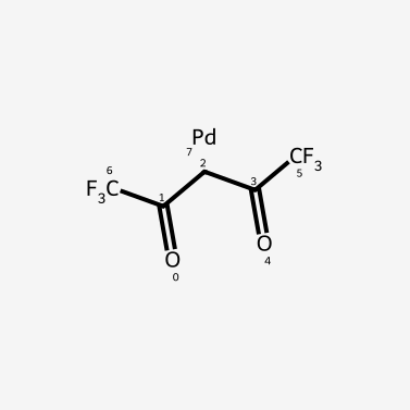 O=C(CC(=O)C(F)(F)F)C(F)(F)F.[Pd]